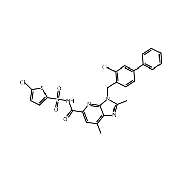 Cc1cc(C(=O)NS(=O)(=O)c2ccc(Cl)s2)nc2c1nc(C)n2Cc1ccc(-c2ccccc2)cc1Cl